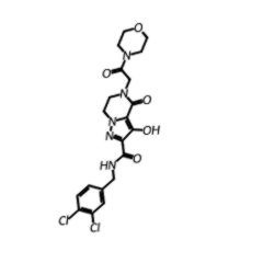 O=C(NCc1ccc(Cl)c(Cl)c1)c1nn2c(c1O)C(=O)N(CC(=O)N1CCOCC1)CC2